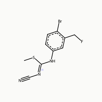 CS/C(=N\C#N)Nc1ccc(Br)c(CF)c1